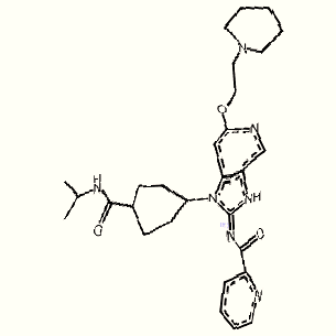 CC(C)NC(=O)C1CCC(n2/c(=N/C(=O)c3ccccn3)[nH]c3cnc(OCCN4CCCCC4)cc32)CC1